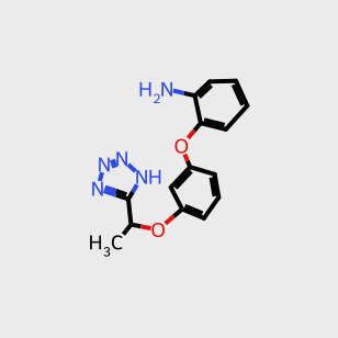 CC(Oc1cccc(Oc2ccccc2N)c1)c1nnn[nH]1